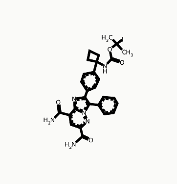 CC(C)(I)OC(=O)NC1(c2ccc(-c3nc4c(C(N)=O)cc(C(N)=O)nn4c3-c3ccccc3)cc2)CCC1